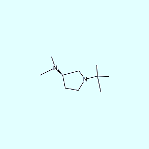 CN(C)[C@@H]1CCN(C(C)(C)C)C1